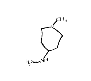 CN1CCC(NP)CC1